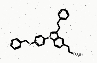 CCOC(=O)CCc1ccc2c(c1)c(CCc1ccccc1)cn2-c1ccc(SCc2ccccc2)cc1